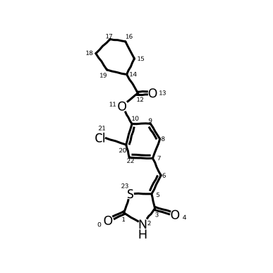 O=C1NC(=O)C(=Cc2ccc(OC(=O)C3CCCCC3)c(Cl)c2)S1